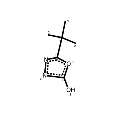 CC(C)(C)c1nnc(O)o1